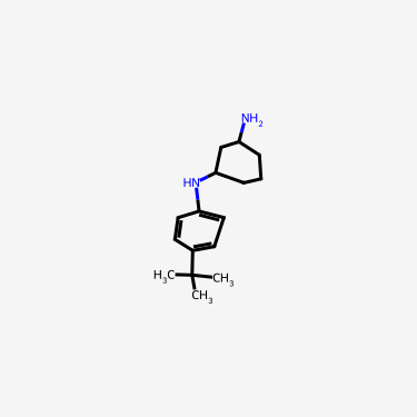 CC(C)(C)c1ccc(NC2CCCC(N)C2)cc1